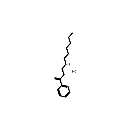 CCCCCCNCCC(=O)c1ccccc1.Cl